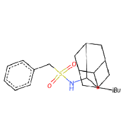 CCC(C)CC1C2CC3CC1CC(C2)C3NS(=O)(=O)Cc1ccccc1